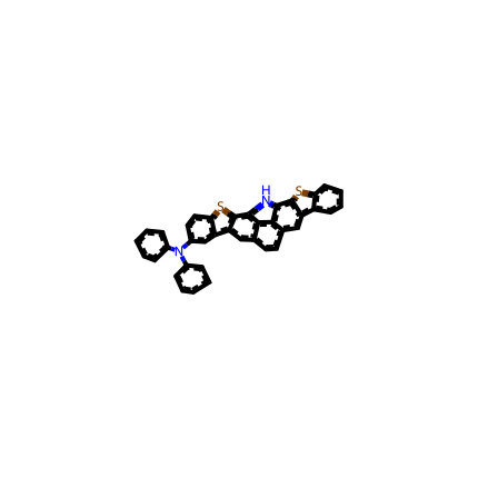 c1ccc(N(c2ccccc2)c2ccc3sc4c(cc5ccc6cc7c8ccccc8sc7c7[nH]c4c5c67)c3c2)cc1